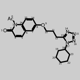 CC(=O)n1c(=O)ccc2cc(OCCCc3nnnn3C3CCCCC3)ccc21